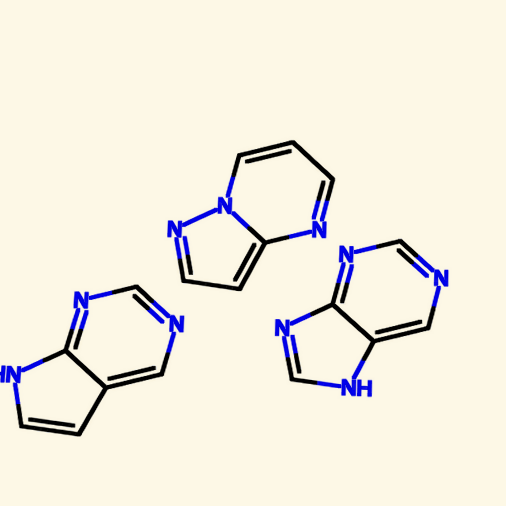 c1cnc2ccnn2c1.c1ncc2[nH]cnc2n1.c1ncc2cc[nH]c2n1